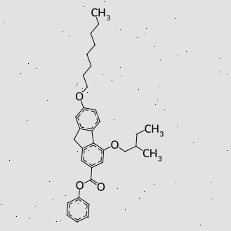 CCCCCCCCOc1ccc2c(c1)Cc1cc(C(=O)Oc3ccccc3)cc(OCC(C)CC)c1-2